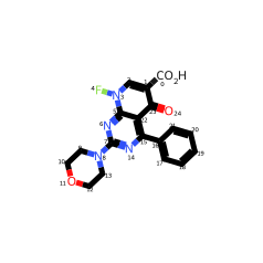 O=C(O)c1cn(F)c2nc(N3CCOCC3)nc(-c3ccccc3)c2c1=O